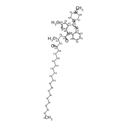 CCCCCCCCCCCCCCCCCCCC(=O)CC(C)CC(=O)N1c2ccccc2N=C(N2CCN(C)CC2)c2cc(C)sc21